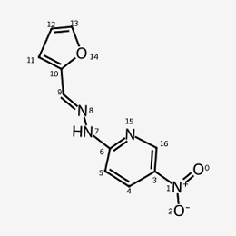 O=[N+]([O-])c1ccc(NN=Cc2ccco2)nc1